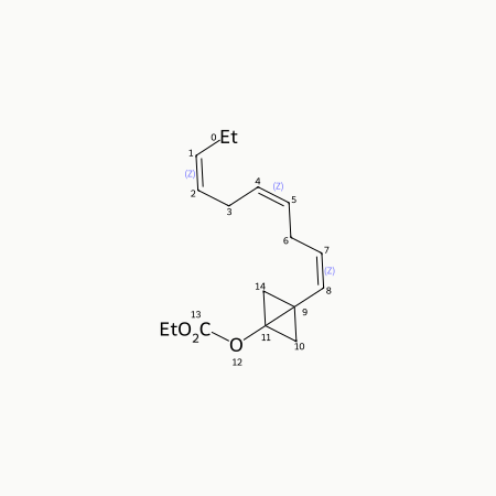 CC/C=C\C/C=C\C/C=C\C12CC1(OC(=O)OCC)C2